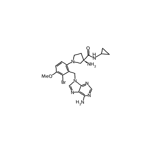 COc1ccc(N2CC[C@](N)(C(=O)NC3CC3)C2)c(Cn2cnc3c(N)ncnc32)c1Br